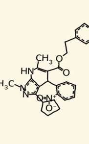 CC1=C(C(=O)OCCc2ccccc2)C(c2ccccc2[N+](=O)[O-])c2c(C3CCCC3)nn(C)c2N1